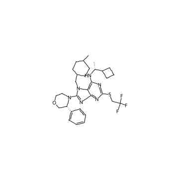 CC1CCC(Cn2c(N3CCOC[C@H]3c3ccccc3)nc3nc(SCC(F)(F)F)nc(N[C@H](C)C4CCC4)c32)CC1